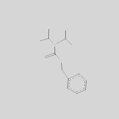 CC(C)N(C(=S)SCc1ccccc1)C(C)C